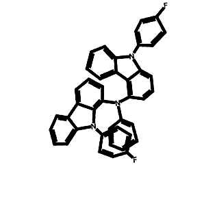 Fc1ccc(-n2c3ccccc3c3c(N(c4ccccc4)c4cccc5c6ccccc6n(-c6ccc(F)cc6)c45)cccc32)cc1